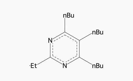 C[CH]c1nc(CCCC)c(CCCC)c(CCCC)n1